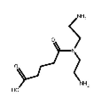 NCCN(CCN)C(=O)CCCC(=O)O